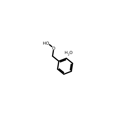 O.OOCc1ccccc1